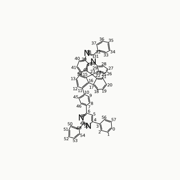 c1ccc(-c2cc(-c3ccc(-c4cccc5c4-c4ccccc4C54c5ccccc5-n5c(-c6ccccc6)nc6cccc4c65)cc3)nc(-c3ccccc3)n2)cc1